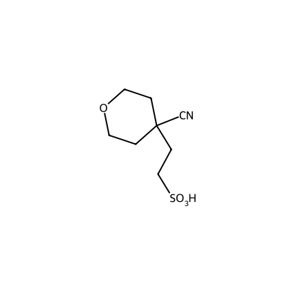 N#CC1(CCS(=O)(=O)O)CCOCC1